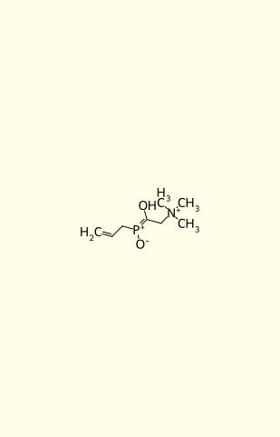 C=CC/[P+]([O-])=C(\O)C[N+](C)(C)C